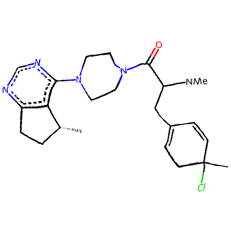 CNC(CC1=CCC(C)(Cl)C=C1)C(=O)N1CCN(c2ncnc3c2[C@H](C)CC3)CC1